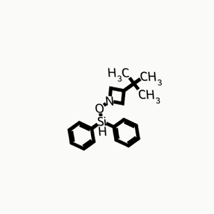 CC(C)(C)C1CN(O[SiH](c2ccccc2)c2ccccc2)C1